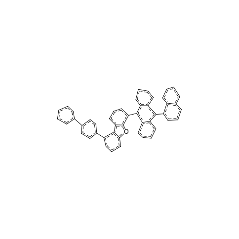 c1ccc(-c2ccc(-c3cccc4oc5c(-c6c7ccccc7c(-c7cccc8ccccc78)c7ccccc67)cccc5c34)cc2)cc1